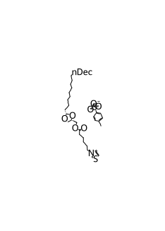 CCCCCCCCCCCCCCCCCCC[C@H]1OC[C@H](COC(=O)CCCCC[n+]2ccsc2)O1.Cc1ccc(S(=O)(=O)[O-])cc1